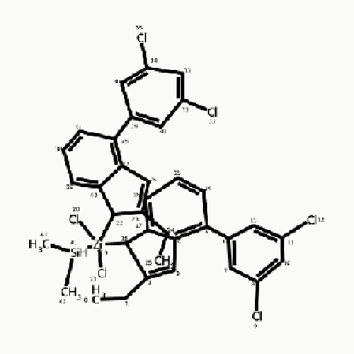 CCC1=Cc2c(-c3cc(Cl)cc(Cl)c3)cccc2[CH]1[Zr]([Cl])([Cl])([CH]1C(CC)=Cc2c(-c3cc(Cl)cc(Cl)c3)cccc21)[SiH](C)C